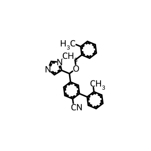 Cc1ccccc1COC(c1ccc(C#N)c(-c2ccccc2C)c1)c1cncn1C